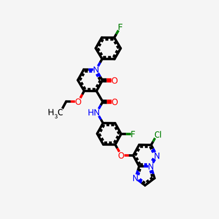 CCOc1ccn(-c2ccc(F)cc2)c(=O)c1C(=O)Nc1ccc(Oc2cc(Cl)nn3ccnc23)c(F)c1